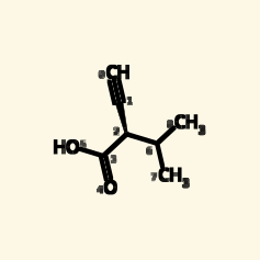 C#C[C@H](C(=O)O)C(C)C